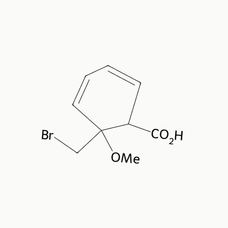 COC1(CBr)C=CC=CC1C(=O)O